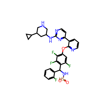 O=[SH](=O)NC(c1ccccc1F)c1c(F)cc(Oc2ncccc2-c2ccnc(NC3CNCC(C4CC4)C3)n2)c(F)c1F